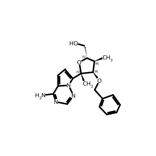 C[C@H]1[C@@H](OCc2ccccc2)[C@](C)(c2ccc3c(N)ncnn23)O[C@@H]1CO